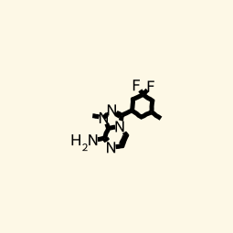 CC1CC(C2=NN(C)C3C(N)=NC=CN23)CC(F)(F)C1